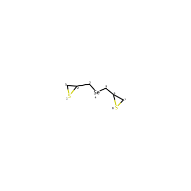 C1SC1C[Se]CC1CS1